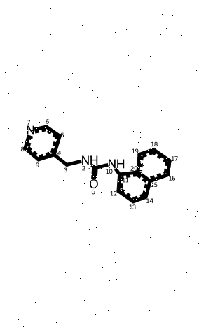 O=C(NCc1ccncc1)Nc1cccc2ccccc12